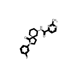 Cc1nccc(C(=O)N[C@H]2CCC[C@]3(CCN(c4cccc(F)c4)C3=O)C2)n1